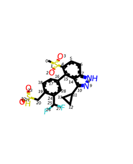 CS(=O)(=O)c1ccc2[nH]nc(C3CC3)c2c1-c1ccc(C[SH](=O)=O)c(C(F)F)c1